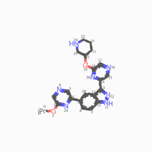 CC(C)Oc1cncc(-c2ccc3[nH]nc(-c4cncc(OC5CCCNC5)n4)c3c2)n1